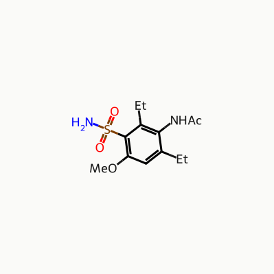 CCc1cc(OC)c(S(N)(=O)=O)c(CC)c1NC(C)=O